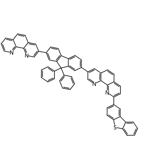 c1ccc(C2(c3ccccc3)c3cc(-c4cnc5c(ccc6cccnc65)c4)ccc3-c3ccc(-c4cnc5c(ccc6ccc(-c7ccc8sc9ccccc9c8c7)nc65)c4)cc32)cc1